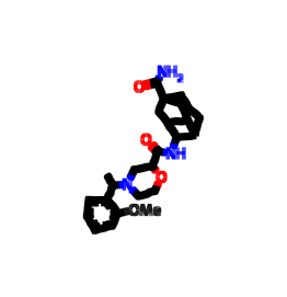 COc1ccccc1C(C)N1CCOC(C(=O)NC2C3CC4CC2CC(C(N)=O)(C4)C3)C1